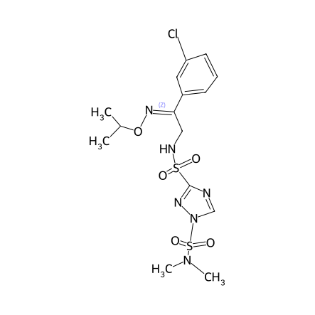 CC(C)O/N=C(\CNS(=O)(=O)c1ncn(S(=O)(=O)N(C)C)n1)c1cccc(Cl)c1